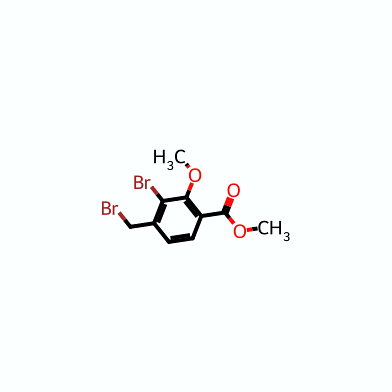 COC(=O)c1ccc(CBr)c(Br)c1OC